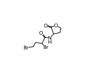 O=C(NC1CCOC1=O)C(Br)CCBr